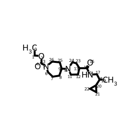 CCOC(=O)N1CCCC(N2CCC(C(=O)NCC(C)C3CC3)CC2)CC1